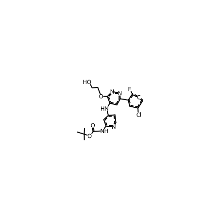 CC(C)(C)OC(=O)Nc1cc(Nc2cc(-c3cc(Cl)ccc3F)nnc2OCCO)ccn1